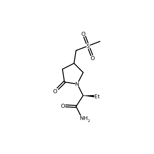 CC[C@@H](C(N)=O)N1CC(CS(C)(=O)=O)CC1=O